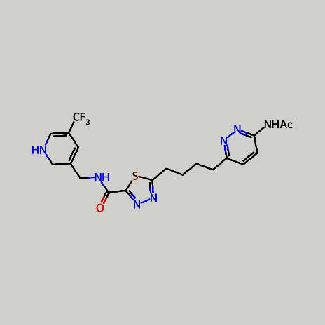 CC(=O)Nc1ccc(CCCCc2nnc(C(=O)NCC3=CC(C(F)(F)F)=CNC3)s2)nn1